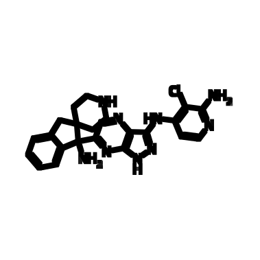 Nc1nccc(Nc2n[nH]c3nc(C4(N)c5ccccc5CC45CCNCC5)cnc23)c1Cl